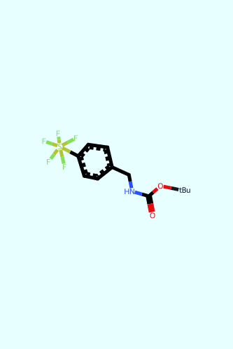 CC(C)(C)OC(=O)NCc1ccc(S(F)(F)(F)(F)F)cc1